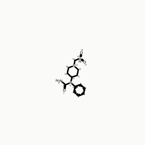 NC(=O)N(c1ccccc1)C1CCN(C[SH](=O)=O)CC1